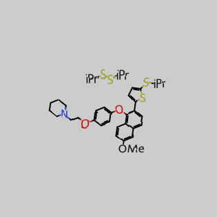 CC(C)SSC(C)C.COc1ccc2c(Oc3ccc(OCCN4CCCCC4)cc3)c(-c3ccc(SC(C)C)s3)ccc2c1